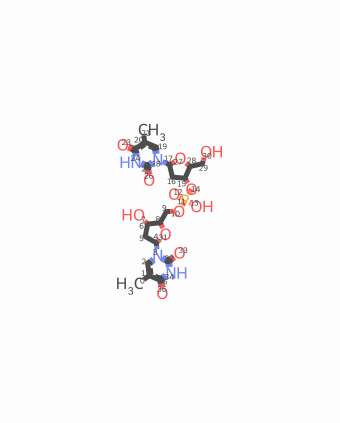 Cc1cn(C2CC(O)C(COP(=O)(O)OC3CC(n4cc(C)c(=O)[nH]c4=O)OC3CO)O2)c(=O)[nH]c1=O